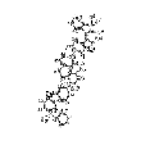 CC1(C)c2ccccc2-c2c1ccc1oc3cc(-c4ccc5ccc6c(-c7ccc8c(c7)oc7ccc9c(c78)-c7ccccc7C9(C)C)ccc7ccc4c5c76)ccc3c21